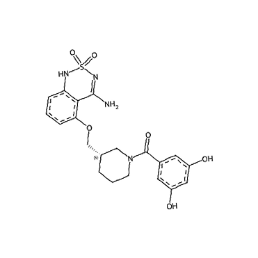 NC1=NS(=O)(=O)Nc2cccc(OC[C@H]3CCCN(C(=O)c4cc(O)cc(O)c4)C3)c21